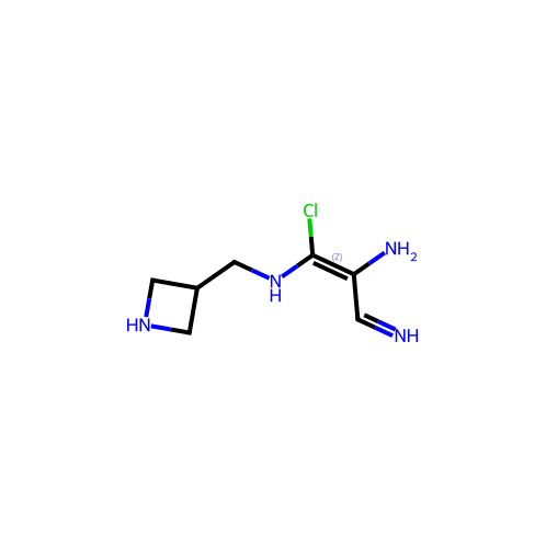 N=C/C(N)=C(/Cl)NCC1CNC1